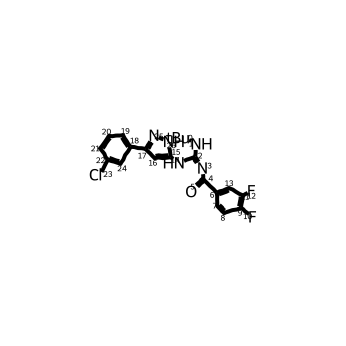 CC(C)(C)N/C(=N/C(=O)c1ccc(F)c(F)c1)Nc1cc(-c2cccc(Cl)c2)n[nH]1